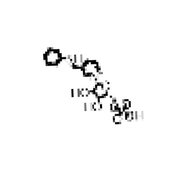 O=P([O-])(O)OC[C@H]1O[C@@H]([n+]2cccc(C=[SH]c3ccccc3)c2)[C@H](O)[C@@H]1O